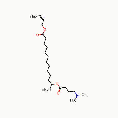 CCCC/C=C\COC(=O)CCCCCCCCCCC(CCCCCCCCC)OC(=O)CCCN(C)C